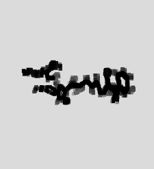 CCCCCC(O)/C=C/[C@H]1[C@H](O)CC(=O)[C@@H]1CCCCCCC(=O)Nc1ccccc1